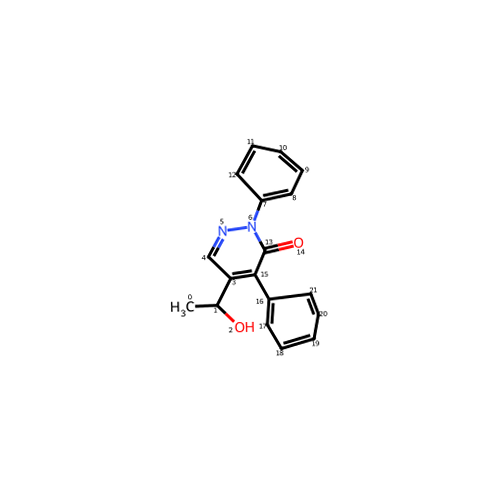 CC(O)c1cnn(-c2ccccc2)c(=O)c1-c1ccccc1